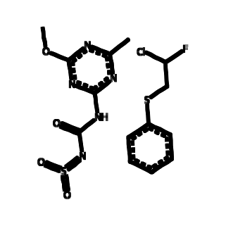 COc1nc(C)nc(NC(=O)N=S(=O)=O)n1.FC(Cl)CSc1ccccc1